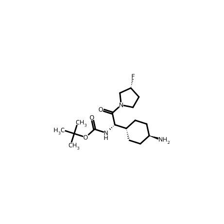 CC(C)(C)OC(=O)N[C@H](C(=O)N1CC[C@@H](F)C1)[C@H]1CC[C@H](N)CC1